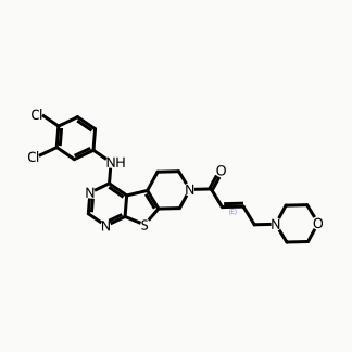 O=C(/C=C/CN1CCOCC1)N1CCc2c(sc3ncnc(Nc4ccc(Cl)c(Cl)c4)c23)C1